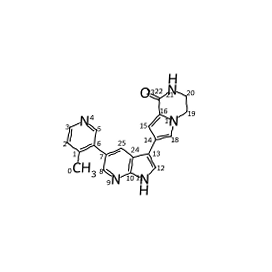 Cc1ccncc1-c1cnc2[nH]cc(-c3cc4n(c3)CCNC4=O)c2c1